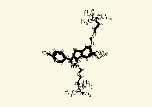 COc1cc2c(cc1OCOCC[Si](C)(C)C)Cc1c(-c3ccc(Cl)nc3)nn(COCC[Si](C)(C)C)c1-2